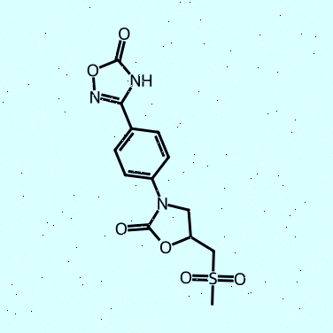 CS(=O)(=O)CC1CN(c2ccc(-c3noc(=O)[nH]3)cc2)C(=O)O1